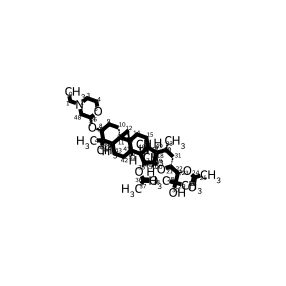 CCN1CCO[C@@H](O[C@H]2CC[C@]34C[C@]35CC[C@]3(C)[C@@H]6[C@H](O[C@@H]([C@H](OC(C)=O)C(C)(C)O)C[C@H]6C)[C@H](OC(C)=O)[C@@]3(C)[C@@H]5CC[C@H]4C2(C)C)C1